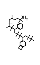 BC(C)(C)CCC(C)CC(C)(C)C(C)C(C)(C)C(CC(C)(C)C(C)(C)C(CC(C)(C)C(C)(C)C)c1ccc2c(c1)CC2)c1ccccc1